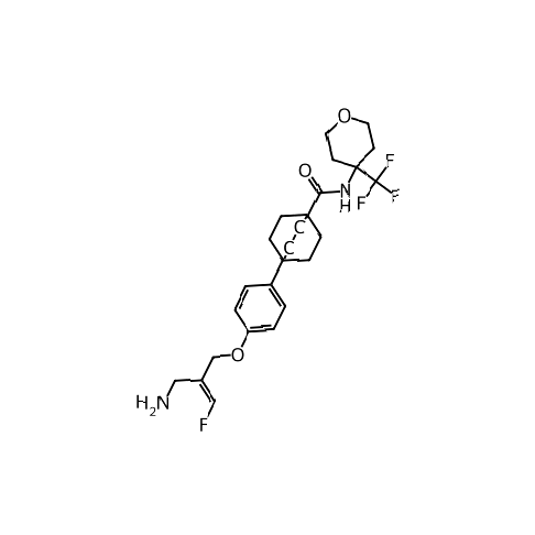 NCC(=CF)COc1ccc(C23CCC(C(=O)NC4(C(F)(F)F)CCOCC4)(CC2)CC3)cc1